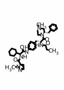 CCC(=O)N[C@H](Cc1ccc(NC(=O)[C@@H](NC(=O)c2ccnn2C)C2CCCCC2)cc1)C(=O)N1CCN(C)C[C@@H]1Cc1ccccc1